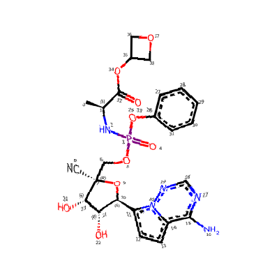 C[C@H](NP(=O)(OC[C@@]1(C#N)O[C@@H](c2ccc3c(N)ncnn23)[C@H](O)[C@@H]1O)Oc1ccccc1)C(=O)OC1COC1